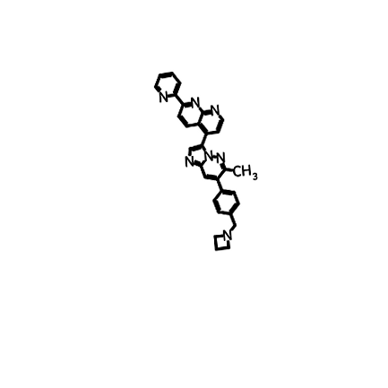 Cc1nn2c(-c3ccnc4nc(-c5ccccn5)ccc34)cnc2cc1-c1ccc(CN2CCC2)cc1